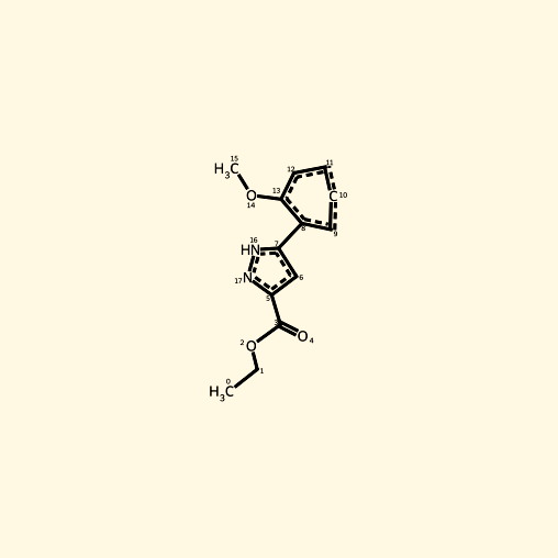 CCOC(=O)c1cc(-c2ccccc2OC)[nH]n1